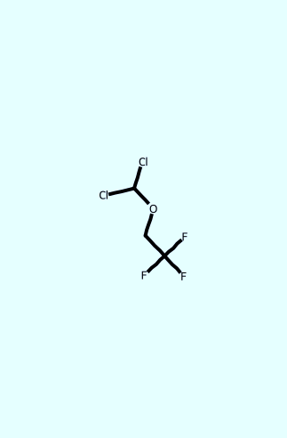 FC(F)(F)COC(Cl)Cl